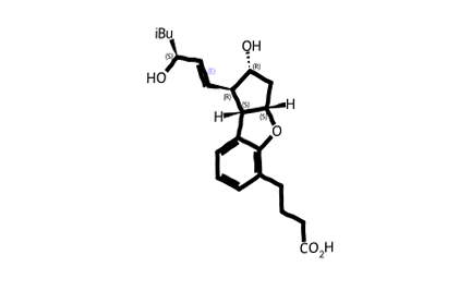 CCC(C)[C@H](O)/C=C/[C@@H]1[C@H]2c3cccc(CCCC(=O)O)c3O[C@H]2C[C@H]1O